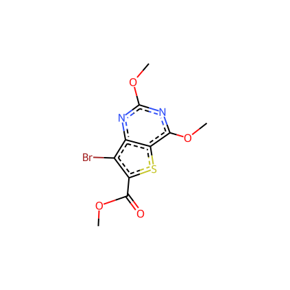 COC(=O)c1sc2c(OC)nc(OC)nc2c1Br